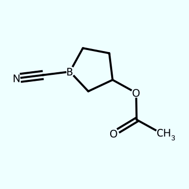 CC(=O)OC1CCB(C#N)C1